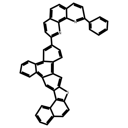 c1ccc(-c2ccc3ccc4ccc(-c5ccc6c(c5)c5ccccc5c5cc7c(cc65)sc5ccc6ccccc6c57)nc4c3n2)cc1